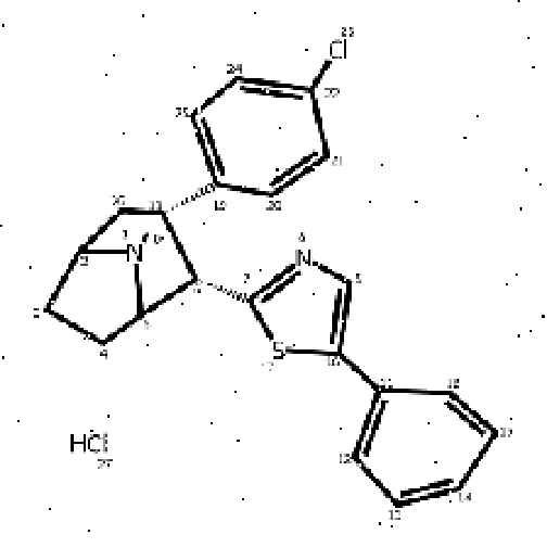 CN1C2CCC1[C@@H](c1ncc(-c3ccccc3)s1)[C@@H](c1ccc(Cl)cc1)C2.Cl